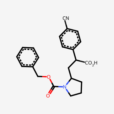 N#Cc1ccc(C(CC2CCCN2C(=O)OCc2ccccc2)C(=O)O)cc1